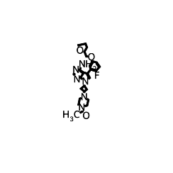 CC(=O)N1CCN(C2CC(n3cc(-c4cc(OCC5CCCO5)ccc4F)c4c(N)ncnc43)C2)CC1